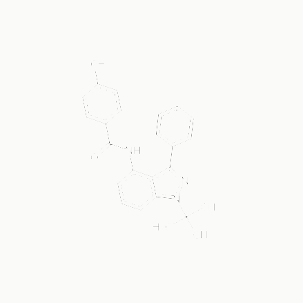 Cc1ccc(C(=O)Nc2cccc3c2c(-c2ccccc2)nn3C(C)(C)C)cc1